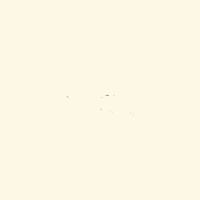 C[C@H](O)[C@H]1O[C@@H](n2cc(F)c(=O)[nH]c2=O)[C@@](O)(C#CCF)C1O